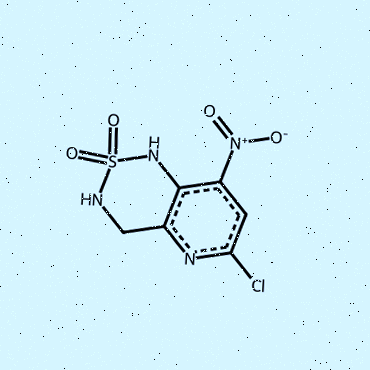 O=[N+]([O-])c1cc(Cl)nc2c1NS(=O)(=O)NC2